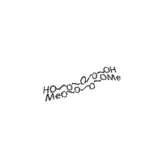 COCCOCCOCCOC.OCCOCCOCCOCCO